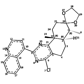 C[C@@H]1[C@H]2CCc3c(Cl)nc(-c4ccnc5ccccc45)nc3[C@]2(C)CCC12OCCO2